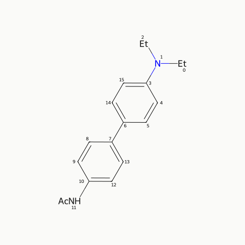 CCN(CC)c1ccc(-c2ccc(NC(C)=O)cc2)cc1